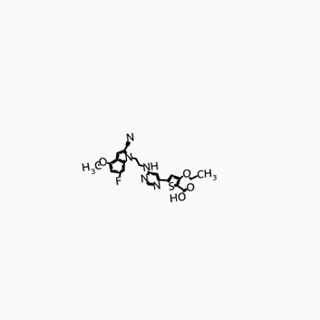 CCOc1cc(-c2cc(NCCn3c(C#N)cc4c(OC)cc(F)cc43)ncn2)sc1C(=O)O